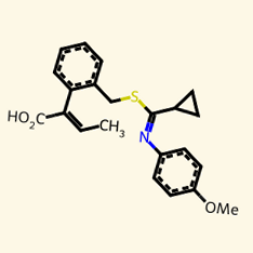 C/C=C(/C(=O)O)c1ccccc1CSC(=Nc1ccc(OC)cc1)C1CC1